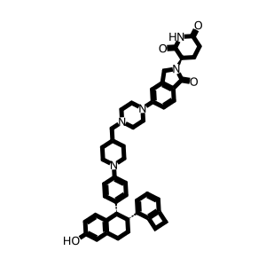 O=C1CC[C@@H](N2Cc3cc(N4CCN(CC5CCN(c6ccc([C@H]7c8ccc(O)cc8CC[C@H]7c7cccc8c7CC8)cc6)CC5)CC4)ccc3C2=O)C(=O)N1